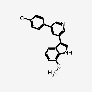 COc1cccc2c(-c3cncc(-c4ccc(Cl)cc4)c3)c[nH]c12